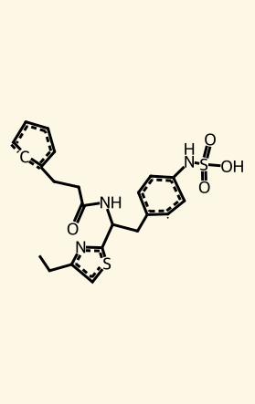 CCc1csc(C(Cc2[c]cc(NS(=O)(=O)O)cc2)NC(=O)CCc2ccccc2)n1